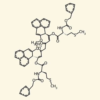 COC1=Cc2cccc3cccc(c23)[C@H]1/C(=C\C(=O)CC(=O)/C=C(/OC(=O)[C@@H](CCSC)NC(=O)OCc1ccccc1)[C@H]1C(OC)=Cc2cccc3cccc1c23)OC(=O)[C@@H](CCSC)NC(=O)OCc1ccccc1